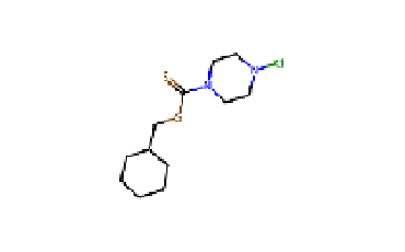 S=C(SCC1CCCCC1)N1CCN(Cl)CC1